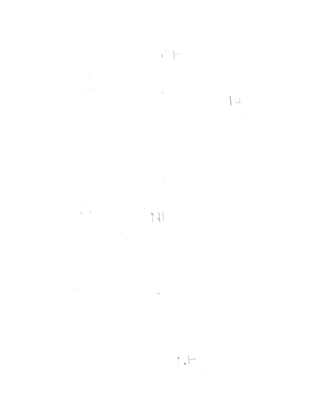 Nc1cccc(C(=O)Nc2cc(Br)c(O)c(Br)c2)c1